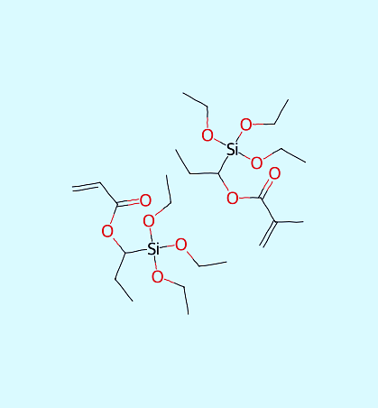 C=C(C)C(=O)OC(CC)[Si](OCC)(OCC)OCC.C=CC(=O)OC(CC)[Si](OCC)(OCC)OCC